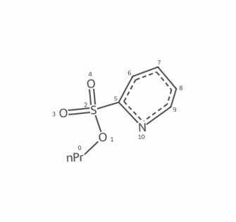 CCCOS(=O)(=O)c1ccccn1